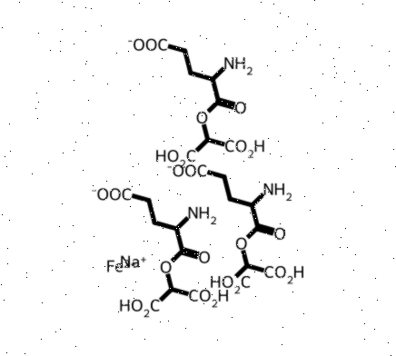 NC(CCC(=O)[O-])C(=O)OC(C(=O)O)C(=O)O.NC(CCC(=O)[O-])C(=O)OC(C(=O)O)C(=O)O.NC(CCC(=O)[O-])C(=O)OC(C(=O)O)C(=O)O.[Fe+2].[Na+]